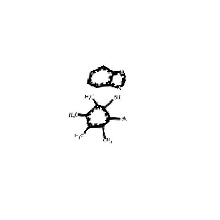 CCCCc1c(C)c(C)c(C)c(C)c1O.c1ccc2scnc2c1